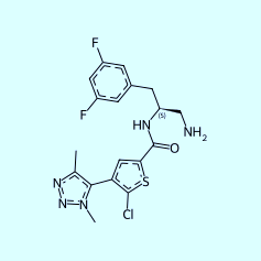 Cc1nnn(C)c1-c1cc(C(=O)N[C@H](CN)Cc2cc(F)cc(F)c2)sc1Cl